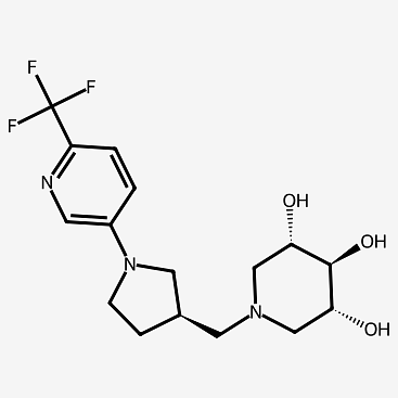 O[C@H]1[C@H](O)CN(C[C@H]2CCN(c3ccc(C(F)(F)F)nc3)C2)C[C@@H]1O